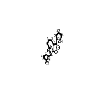 O=C(C1CCCc2nn(Cc3cccc(Cl)n3)c(=O)n21)N1CCCC1